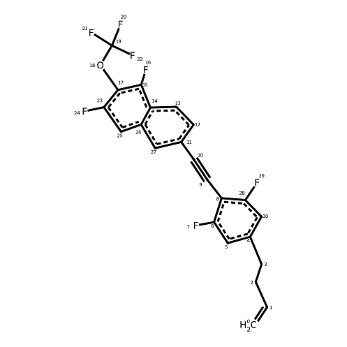 C=CCCc1cc(F)c(C#Cc2ccc3c(F)c(OC(F)(F)F)c(F)cc3c2)c(F)c1